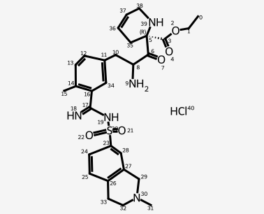 CCOC(=O)[C@]1(C(=O)C(N)Cc2ccc(C)c(C(=N)NS(=O)(=O)c3ccc4c(c3)CN(C)CC4)c2)CC=CCN1.Cl